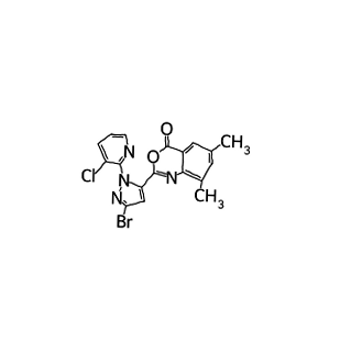 Cc1cc(C)c2nc(-c3cc(Br)nn3-c3ncccc3Cl)oc(=O)c2c1